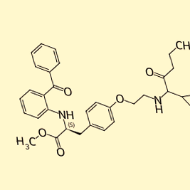 CCCC(=O)C(NCCOc1ccc(C[C@H](Nc2ccccc2C(=O)c2ccccc2)C(=O)OC)cc1)C1CC1